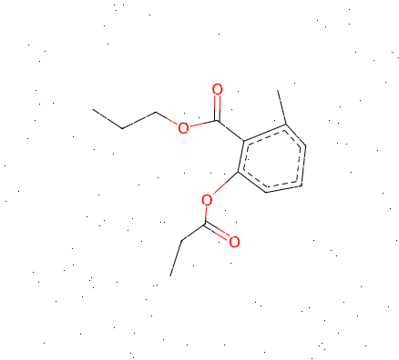 CCCOC(=O)c1c(C)cccc1OC(=O)CC